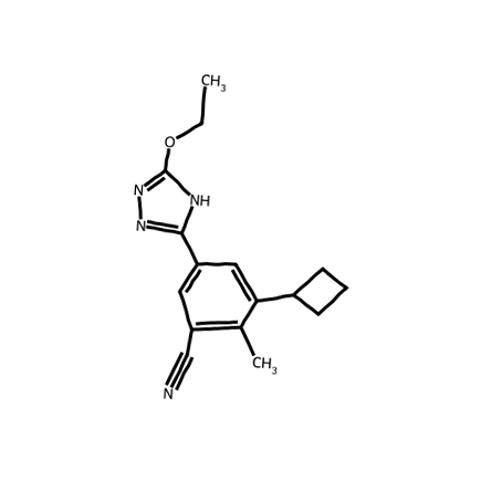 CCOc1nnc(-c2cc(C#N)c(C)c(C3CCC3)c2)[nH]1